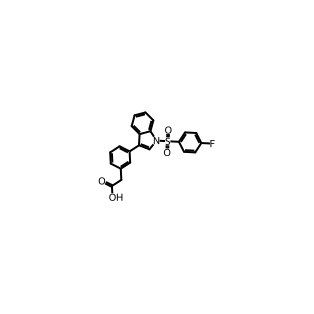 O=C(O)Cc1cccc(-c2cn(S(=O)(=O)c3ccc(F)cc3)c3ccccc23)c1